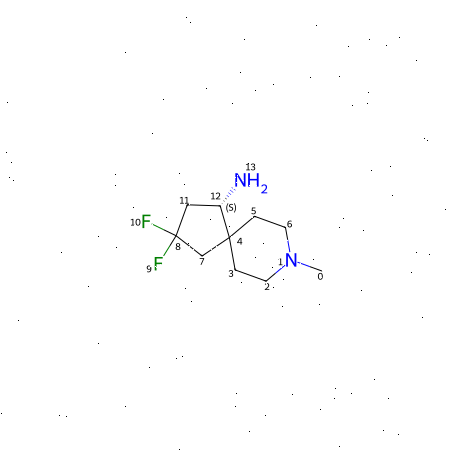 CN1CCC2(CC1)CC(F)(F)C[C@@H]2N